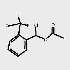 CC(=O)OC(Cl)c1ccccc1C(F)(F)F